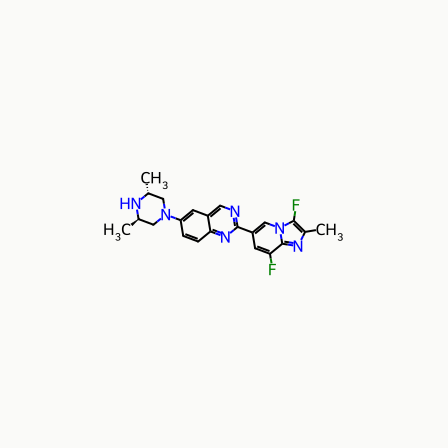 Cc1nc2c(F)cc(-c3ncc4cc(N5C[C@@H](C)N[C@H](C)C5)ccc4n3)cn2c1F